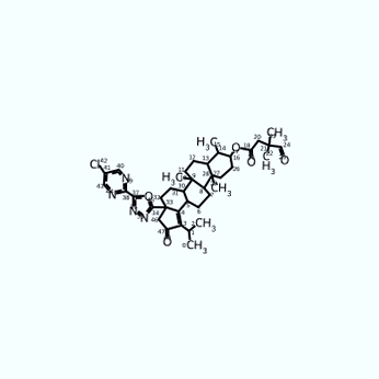 CC(C)C1=C2C3CCC4C(C)(CCC5C(C)C(OC(=O)CC(C)(C)C=O)CCC54C)C3CCC2(c2nnc(-c3ncc(Cl)cn3)o2)CC1=O